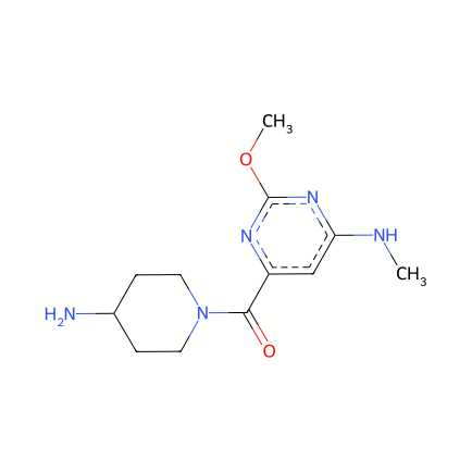 CNc1cc(C(=O)N2CCC(N)CC2)nc(OC)n1